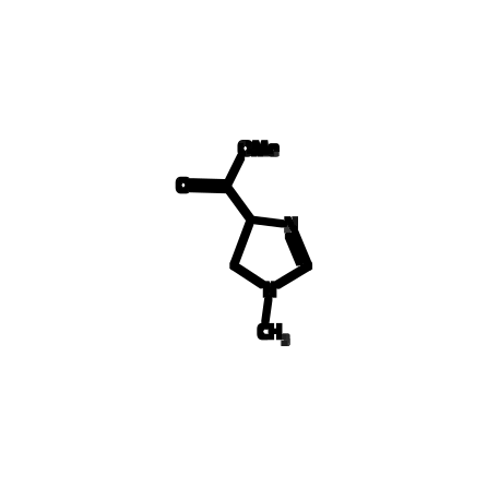 COC(=O)C1CN(C)C=N1